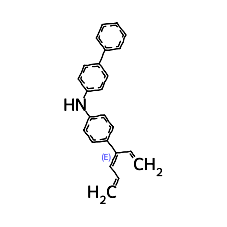 C=C/C=C(\C=C)c1ccc(Nc2ccc(-c3ccccc3)cc2)cc1